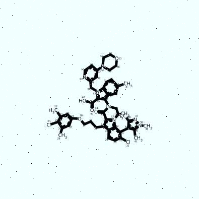 Cc1ccc2c(c1)c(N1C[C@@H](C)n3c(c(CCCOc4cc(C)c(Cl)c(C)c4)c4ccc(Cl)c(-c5c(C)nn(C)c5C)c43)C1=O)c(C(=O)O)n2Cc1cc(N2CCOCC2)ccn1